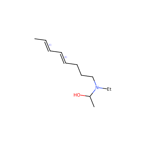 C/C=C/C=C/CCCN(CC)C(C)O